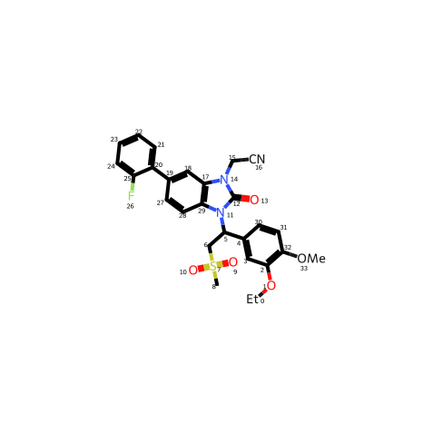 CCOc1cc(C(CS(C)(=O)=O)n2c(=O)n(CC#N)c3cc(-c4ccccc4F)ccc32)ccc1OC